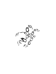 O=C(c1cc([N+](=O)[O-])ccc1O)N1CCN(c2ccc(C(F)(F)F)cc2)CC1.O=C(c1cc([N+](=O)[O-])ccc1OCCCO)N1CCN(c2ccc(C(F)(F)F)cc2)CC1